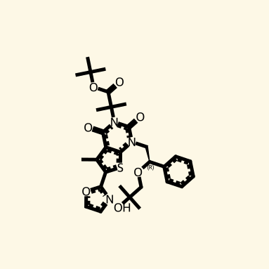 Cc1c(-c2ncco2)sc2c1c(=O)n(C(C)(C)C(=O)OC(C)(C)C)c(=O)n2C[C@H](OCC(C)(C)O)c1ccccc1